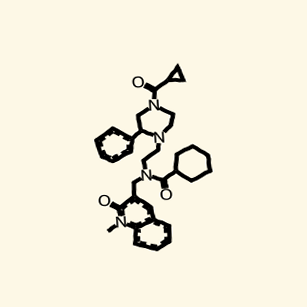 Cn1c(=O)c(CN(CCN2CCN(C(=O)C3CC3)CC2c2ccccc2)C(=O)C2CCCCC2)cc2ccccc21